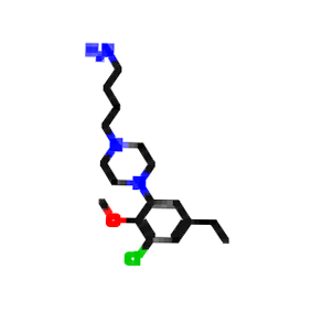 CCc1cc(Cl)c(OC)c(N2CCN(CCCCN)CC2)c1